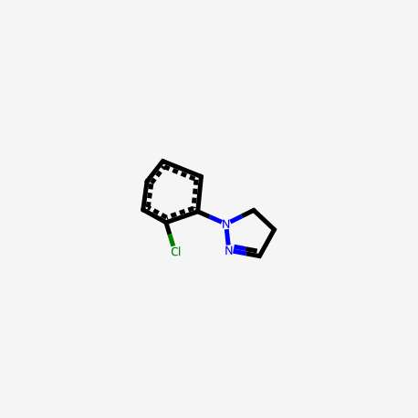 Clc1ccccc1N1CCC=N1